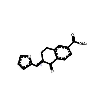 COC(=O)c1ccc2c(c1)CC/C(=C\c1ccco1)C2=O